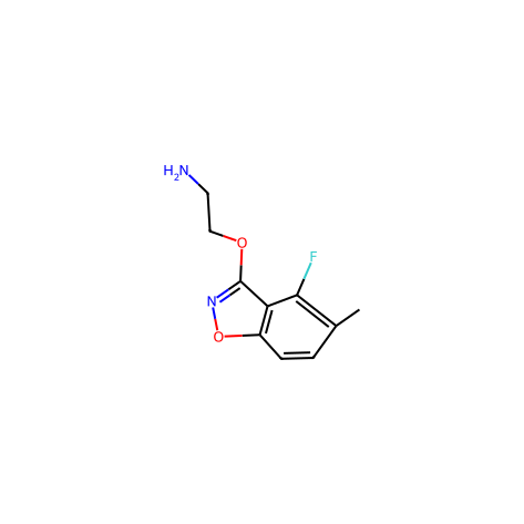 Cc1ccc2onc(OCCN)c2c1F